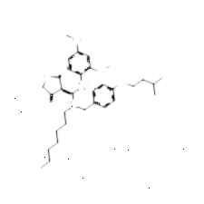 CCCCCCCN(Cc1ccc(OCCC(C)C)cc1)/C(Nc1ccc(OC)cc1OC)=C1\C(=O)COC1=O